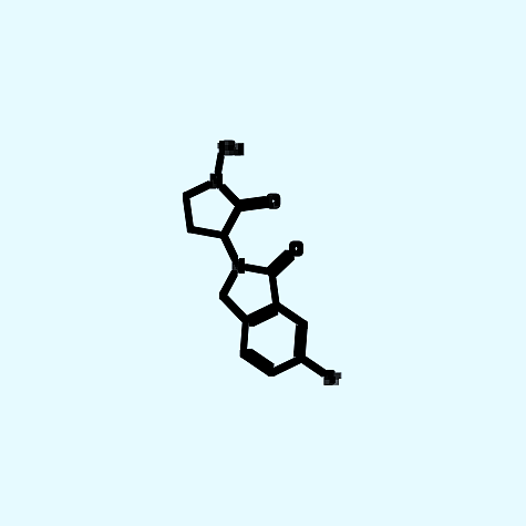 CC(C)(C)N1CCC(N2Cc3ccc(Br)cc3C2=O)C1=O